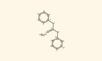 O=S(Cc1ccccc1)Cc1ccccc1.[Eu+3]